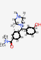 CCN(CC)C(=O)c1ccc(C(c2cccc(O)c2)N2C[C@@H](C)N(C)C[C@H]2C)cc1